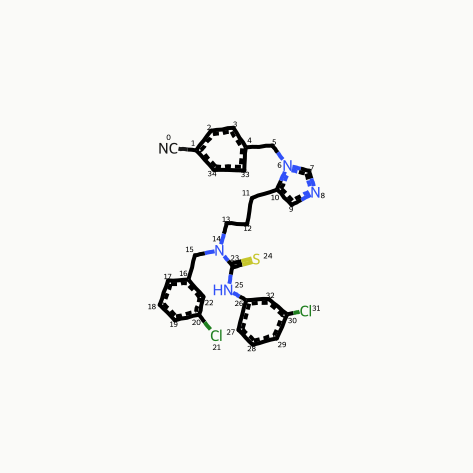 N#Cc1ccc(Cn2cncc2CCCN(Cc2cccc(Cl)c2)C(=S)Nc2cccc(Cl)c2)cc1